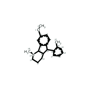 COc1ccc2c(c1)C1C(CCCN1C)C2c1ccccc1C